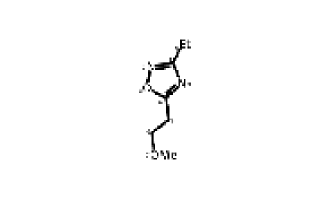 CCc1noc(CCOC)n1